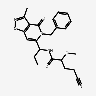 CCC(NC(=O)C(CCC#N)OC)c1cc2onc(C)c2c(=O)n1Cc1ccccc1